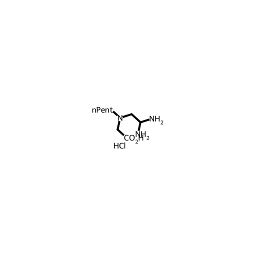 CCCCCN(CC(=O)O)CC(N)N.Cl